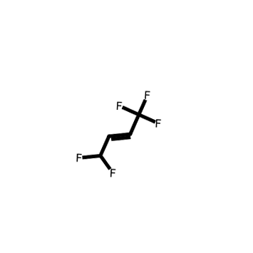 FC(F)/C=C/C(F)(F)F